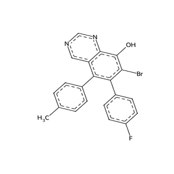 Cc1ccc(-c2c(-c3ccc(F)cc3)c(Br)c(O)c3ncncc23)cc1